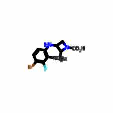 CC(C)(C)C1C(Nc2ccc(Br)c(F)c2[N+](=O)[O-])CN1C(=O)O